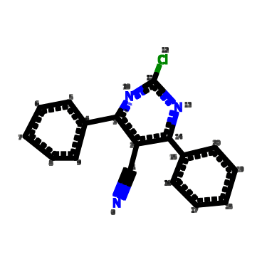 N#Cc1c(-c2ccccc2)nc(Cl)nc1-c1ccccc1